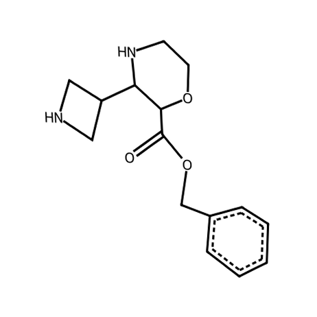 O=C(OCc1ccccc1)C1OCCNC1C1CNC1